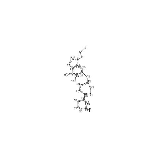 CCCc1ncc2c(=O)n(C)c(Cc3ccc(-c4cccc(F)n4)cc3)cn12